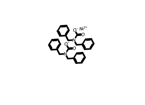 O=C([O-])N(Cc1ccccc1)Cc1ccccc1.O=C([O-])N(Cc1ccccc1)Cc1ccccc1.[Ni+2]